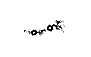 COc1ccc(-c2nc(COc3ccc(CC4COC(C)(C)N4C(=O)O)cc3)no2)cc1